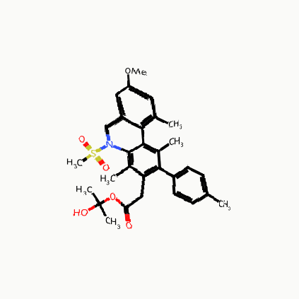 COc1cc(C)c2c(c1)CN(S(C)(=O)=O)c1c(C)c(CC(=O)OC(C)(C)O)c(-c3ccc(C)cc3)c(C)c1-2